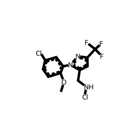 COc1ccc(Cl)cc1-n1nc(C(F)(F)F)cc1CNCl